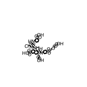 O=S(=O)(O)c1cccc(Nc2nc(Cl)nc(Nc3cc(S(=O)(=O)O)cc4cc(SOOO)c(/N=N/c5ccc(S(=O)(=O)CCOSOOO)cc5)c(O)c34)n2)c1